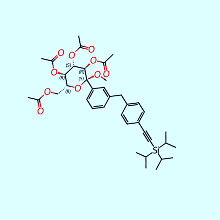 CO[C@@]1(c2cccc(Cc3ccc(C#C[Si](C(C)C)(C(C)C)C(C)C)cc3)c2)O[C@H](COC(C)=O)[C@@H](OC(C)=O)[C@H](OC(C)=O)[C@H]1OC(C)=O